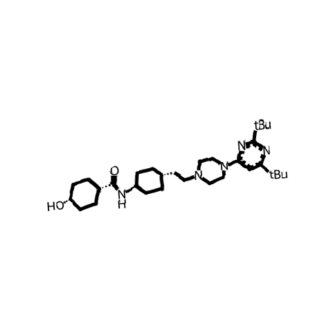 CC(C)(C)c1cc(N2CCN(CC[C@H]3CC[C@H](NC(=O)[C@H]4CC[C@@H](O)CC4)CC3)CC2)nc(C(C)(C)C)n1